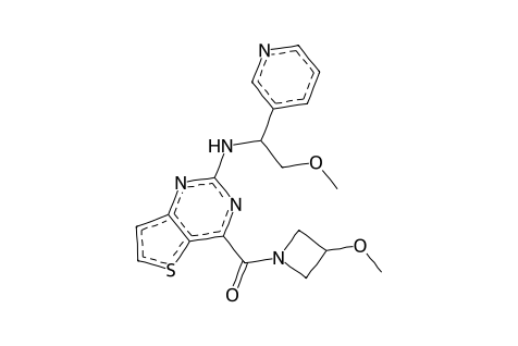 COCC(Nc1nc(C(=O)N2CC(OC)C2)c2sccc2n1)c1cccnc1